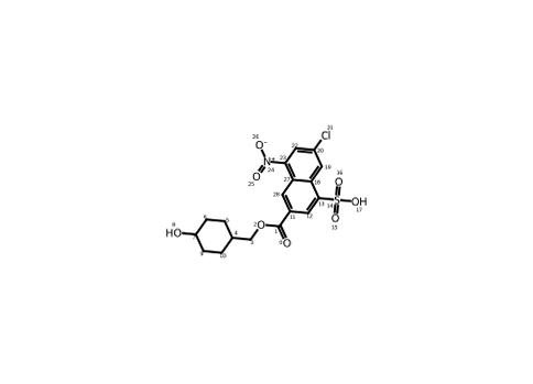 O=C(OCC1CCC(O)CC1)c1cc(S(=O)(=O)O)c2cc(Cl)cc([N+](=O)[O-])c2c1